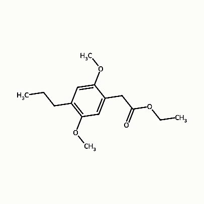 CCCc1cc(OC)c(CC(=O)OCC)cc1OC